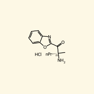 CCC[C@](C)(N)C(=O)c1nc2ccccc2o1.Cl